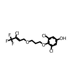 Oc1cc(Cl)c(OCCCOC/C=C(\Cl)C(F)(F)F)c(Cl)c1